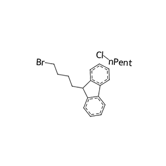 BrCCCCC1c2ccccc2-c2ccccc21.CCCCCCl